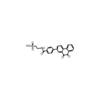 O=C(NCCS(=O)(=O)O)c1ccc(-c2ccc3c(c2)C(=O)C(=O)c2ccccc2-3)cc1